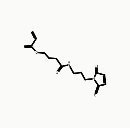 C=CC(=C)OCCCC(=O)NCCCN1C(=O)C=CC1=O